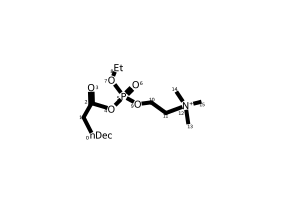 CCCCCCCCCCCC(=O)OP(=O)(OCC)OCC[N+](C)(C)C